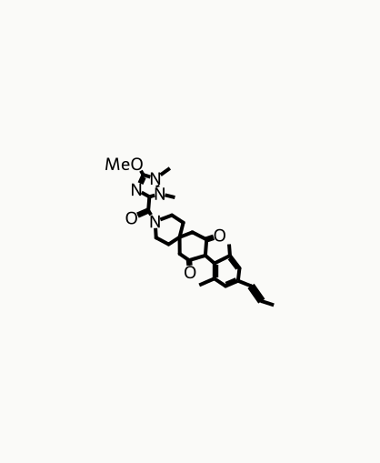 CC#Cc1cc(C)c(C2C(=O)CC3(CCN(C(=O)C4N=C(OC)N(C)N4C)CC3)CC2=O)c(C)c1